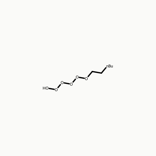 CCCCCCOOOOOO